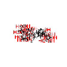 C=C1CC2CC[C@@H]3[C@](CO)(C(=O)OC4OC(CO)C(O)C(O)C4O)CCC[C@@]3(C)[C@@H]2CCC1OC1OC(CO)C(O)C(OC2OC(CO)C(O)C(O)C2O)C1OC1OC(CO)C(O)C(O)C1O